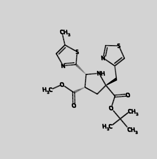 COC(=O)[C@H]1C[C@@](Cc2cscn2)(C(=O)OC(C)(C)C)N[C@H]1c1ncc(C)s1